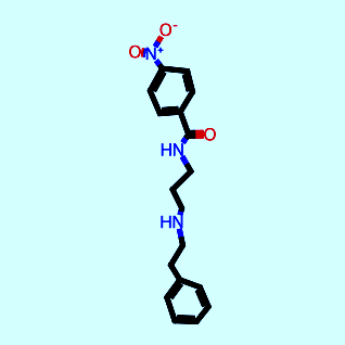 O=C(NCCCNCCc1ccccc1)c1ccc([N+](=O)[O-])cc1